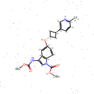 CC(C)(C)OC(=O)Nc1cn(C(=O)OC(C)(C)C)c2ccc(O[C@H]3C[C@H](c4ccc(C(F)(F)F)nc4)C3)cc12